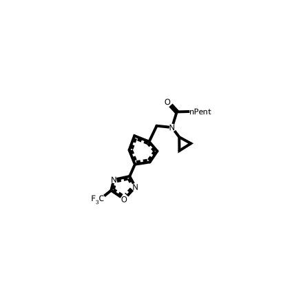 CCCCCC(=O)N(Cc1ccc(-c2noc(C(F)(F)F)n2)cc1)C1CC1